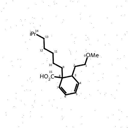 COCCC1C=CC=CC1(CCCCCC(C)C)C(=O)O